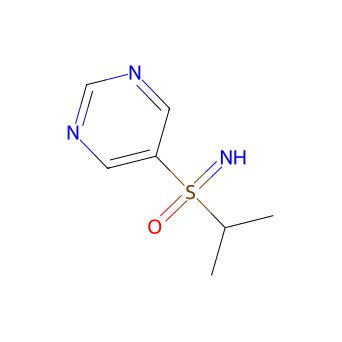 CC(C)S(=N)(=O)c1cncnc1